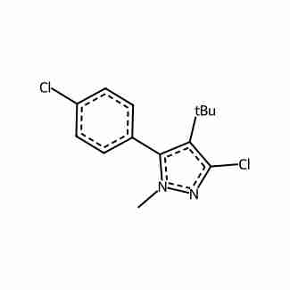 Cn1nc(Cl)c(C(C)(C)C)c1-c1ccc(Cl)cc1